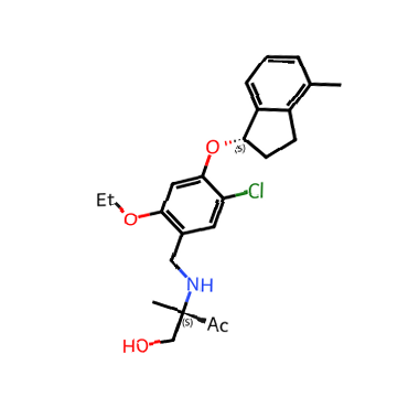 CCOc1cc(O[C@H]2CCc3c(C)cccc32)c(Cl)cc1CN[C@@](C)(CO)C(C)=O